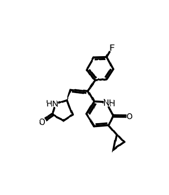 O=C1CC[C@H](C=C(c2ccc(F)cc2)c2ccc(C3CC3)c(=O)[nH]2)N1